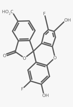 O=C(O)c1ccc2c(c1)C(=O)OC21c2cc(F)c(O)cc2Oc2cc(O)c(F)cc21